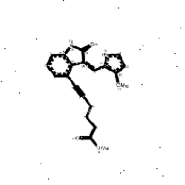 COC(=O)CCCC#Cc1cccc2c1C(=Cc1[nH]ccc1OC)C(=O)N2